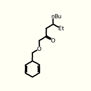 CCCCC(CC)CC(=O)COCC1C=CCC=C1